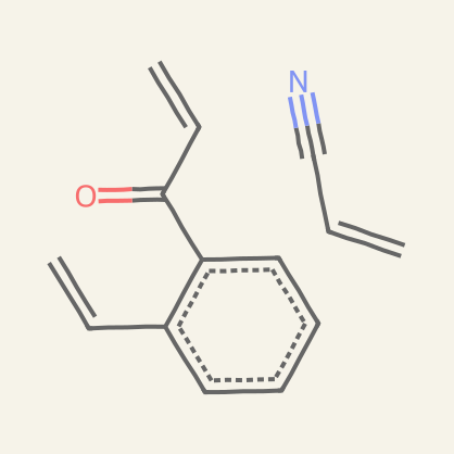 C=CC#N.C=CC(=O)c1ccccc1C=C